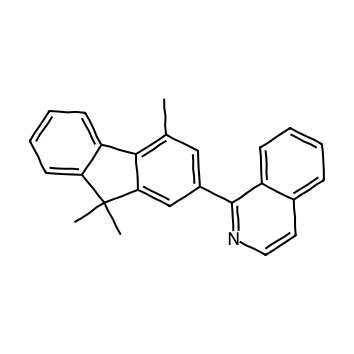 Cc1cc(-c2nccc3ccccc23)cc2c1-c1ccccc1C2(C)C